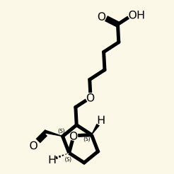 O=C[C@H]1C(COCCCCC(=O)O)[C@@H]2CC[C@@H]1O2